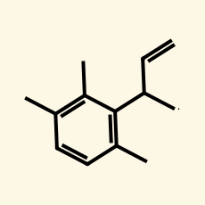 [CH2]C(C=C)c1c(C)ccc(C)c1C